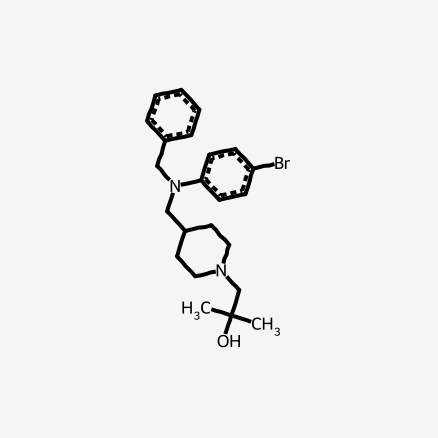 CC(C)(O)CN1CCC(CN(Cc2ccccc2)c2ccc(Br)cc2)CC1